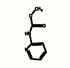 COC(=O)Nc1ccccn1